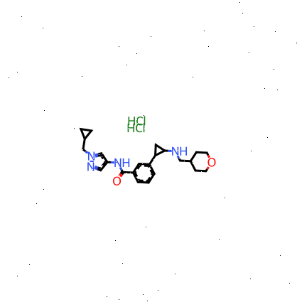 Cl.Cl.O=C(Nc1cnn(CC2CC2)c1)c1cccc(C2CC2NCC2CCOCC2)c1